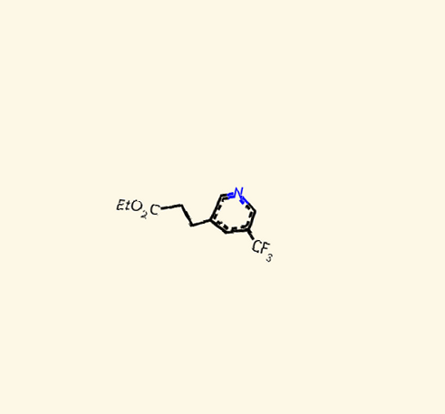 CCOC(=O)CCc1cncc(C(F)(F)F)c1